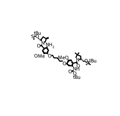 C=C1C[C@@H](CO[Si](C)(C)C(C)(C)C)N(C(=O)c2cc(OC)c(OCCCCCOc3cc(NC(=O)OC(C)(C)C)c(C(=O)N4CC(C)(C)C[C@H]4CO[Si](C)(C)C(C)(C)C)cc3OC)cc2N)C1